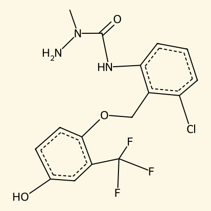 CN(N)C(=O)Nc1cccc(Cl)c1COc1ccc(O)cc1C(F)(F)F